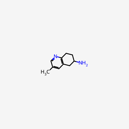 Cc1cnc2c(c1)CC(N)CC2